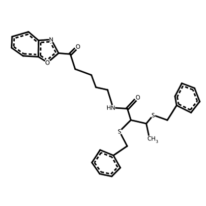 CC(SCc1ccccc1)C(SCc1ccccc1)C(=O)NCCCCC(=O)c1nc2ccccc2o1